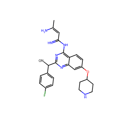 C/C(N)=C/C(=N)Nc1nc(C(N=O)c2ccc(F)cc2)nc2cc(OC3CCNCC3)ccc12